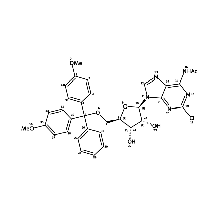 COc1ccc(C(OC[C@H]2O[C@@H](n3cnc4c(NC(C)=O)nc(Cl)nc43)[C@H](O)[C@@H]2O)(c2ccccc2)c2ccc(OC)cc2)cc1